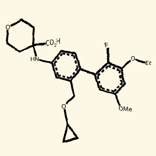 CCOc1cc(OC)cc(-c2ccc(NC3(C(=O)O)CCOCC3)cc2COC2CC2)c1F